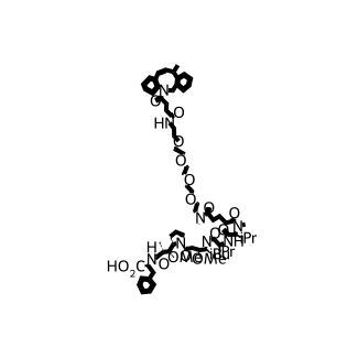 CC[C@H](C)[C@@H]([C@@H](CC(=O)N1CCC[C@H]1[C@H](OC)[C@@H](C)C(=O)N[C@@H](Cc1ccccc1)C(=O)O)OC)N(C)C(=O)[C@@H](NC(=O)[C@H](C(C)C)N(C)C(=O)CCCC(=O)N(C)CCOCCOCCOCCOCCNC(=O)CCC(=O)N1Cc2ccccc2C(C)/C=C\c2ccccc21)C(C)C